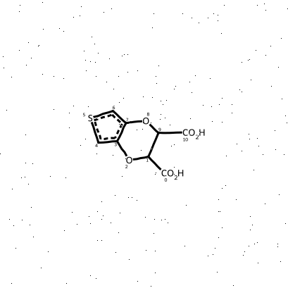 O=C(O)C1Oc2cscc2OC1C(=O)O